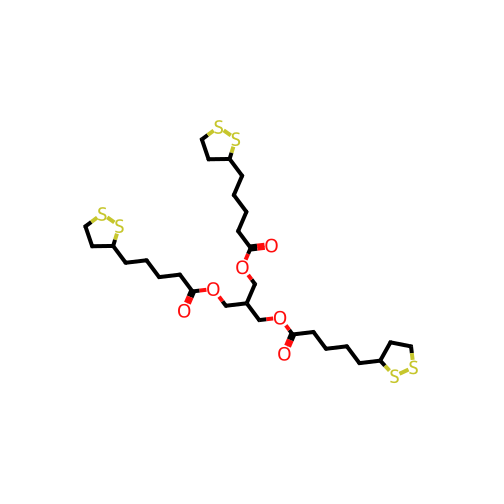 O=C(CCCCC1CCSS1)OCC(COC(=O)CCCCC1CCSS1)COC(=O)CCCCC1CCSS1